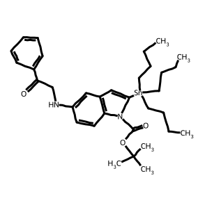 CCC[CH2][Sn]([CH2]CCC)([CH2]CCC)[c]1cc2cc(NCC(=O)c3ccccc3)ccc2n1C(=O)OC(C)(C)C